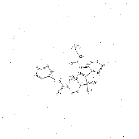 CCOC(=O)c1c(C)c(C(C)(O)C2CCN(C(=O)OCc3ccccc3)CC2)n2ncccc12